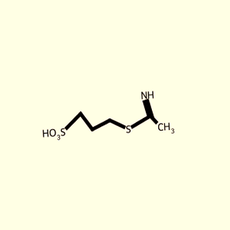 CC(=N)SCCCS(=O)(=O)O